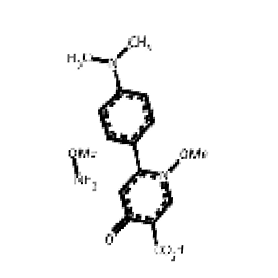 CON.COn1cc(C(=O)O)c(=O)cc1-c1ccc(N(C)C)cc1